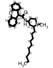 CCCCCCCCCCC1CC(NC(=O)C2c3ccccc3Oc3ccccc32)CCN1C